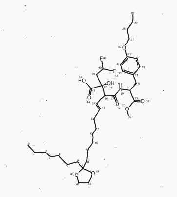 CCCCCCCC1(CCCCCC/C=C/[C@H](C(=O)N[C@@H](Cc2ccc(OCCCC)cc2)C(=O)OC)[C@@](O)(CC(F)F)C(=O)O)OCCO1